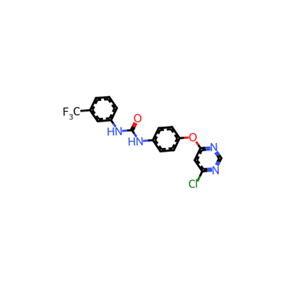 O=C(Nc1ccc(Oc2cc(Cl)ncn2)cc1)Nc1cccc(C(F)(F)F)c1